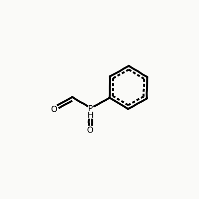 O=C[PH](=O)c1ccccc1